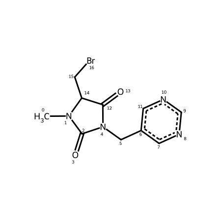 CN1C(=O)N(Cc2cncnc2)C(=O)C1CBr